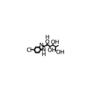 CC(CO)C(O)C(O)[C@@H](O)c1nc2cc(Cl)ccc2[nH]1